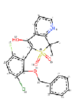 CC1(C)c2ncccc2C(O)=C(c2c(F)ccc(Cl)c2OCc2ccccc2)S1(=O)=O